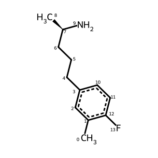 Cc1cc(CCC[C@@H](C)N)ccc1F